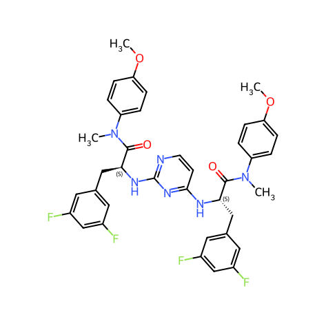 COc1ccc(N(C)C(=O)[C@H](Cc2cc(F)cc(F)c2)Nc2ccnc(N[C@@H](Cc3cc(F)cc(F)c3)C(=O)N(C)c3ccc(OC)cc3)n2)cc1